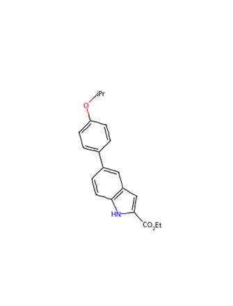 CCOC(=O)c1cc2cc(-c3ccc(OC(C)C)cc3)ccc2[nH]1